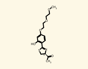 COCCOCCOc1ccc(C2=N[C@@H](C(C)=O)CS2)c(O)c1